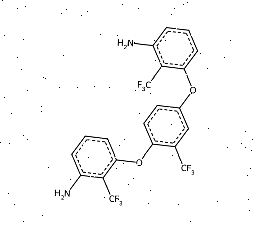 Nc1cccc(Oc2ccc(Oc3cccc(N)c3C(F)(F)F)c(C(F)(F)F)c2)c1C(F)(F)F